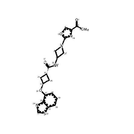 COC(=O)c1coc(N2CC(NC(=O)[C@H]3C[C@H](Oc4cccc5scnc45)C3)C2)n1